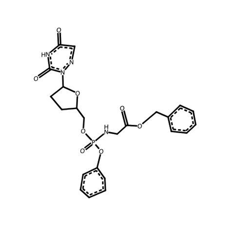 O=C(CNP(=O)(OCC1CCC(n2ncc(=O)[nH]c2=O)O1)Oc1ccccc1)OCc1ccccc1